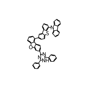 c1ccc(C2=NC(c3ccc4c(c3)oc3cccc(-c5ccc6sc7c(-n8c9ccccc9c9ccccc98)cccc7c6c5)c34)=NC(c3ccccc3)N2)cc1